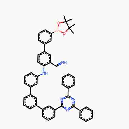 CC1(C)OB(c2cccc(-c3ccc(Nc4cccc(-c5cccc(-c6cccc(-c7nc(-c8ccccc8)nc(-c8ccccc8)n7)c6)c5)c4)c(C=N)c3)c2)OC1(C)C